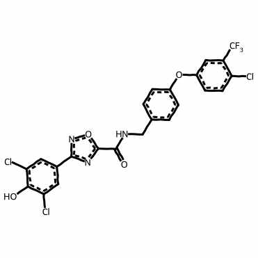 O=C(NCc1ccc(Oc2ccc(Cl)c(C(F)(F)F)c2)cc1)c1nc(-c2cc(Cl)c(O)c(Cl)c2)no1